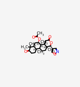 CC(=O)O[C@@H]1CC2C(C)(C)C(=O)CC[C@]2(C)C2CC[C@]3(C)C(=CC(=O)O[C@H]3c3cnoc3)[C@@]21C